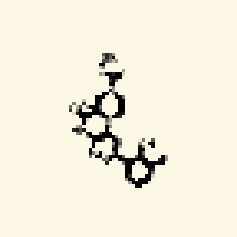 CC(C)(C)OC(=O)N1CCN2c3cc(-c4cccc(F)c4O)nnc3NC(=O)C2(C(F)(F)F)C1